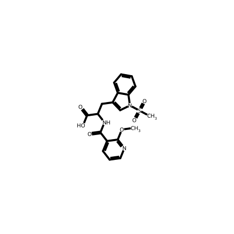 COc1ncccc1C(=O)NC(Cc1cn(S(C)(=O)=O)c2ccccc12)C(=O)O